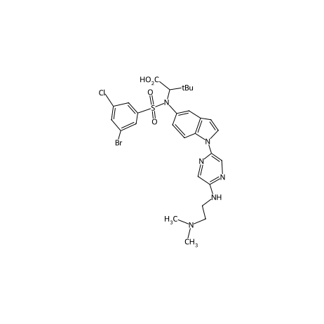 CN(C)CCNc1cnc(-n2ccc3cc(N(C(C(=O)O)C(C)(C)C)S(=O)(=O)c4cc(Cl)cc(Br)c4)ccc32)cn1